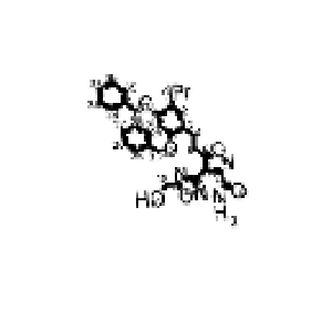 CC(C)c1cc(CCc2onc(C(N)=O)c2-c2noc(CO)n2)c(OCc2ccccc2)cc1OCc1ccccc1